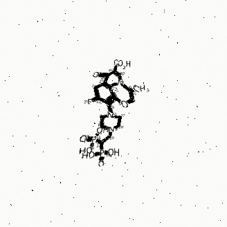 CC1COc2c(N3CCN(CC(P(=O)(O)O)P(=O)(O)O)CC3)c(F)cc3c(=O)c(C(=O)O)cn1c23